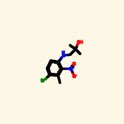 Cc1c(Br)ccc(NCC(C)(C)O)c1[N+](=O)[O-]